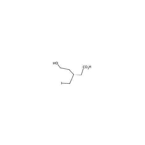 O=C(O)C[C@H](CI)CCO